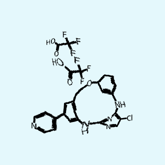 Clc1cnc2nc1Nc1cccc(c1)OCCc1cc(cc(-c3ccncc3)c1)N2.O=C(O)C(F)(F)F.O=C(O)C(F)(F)F